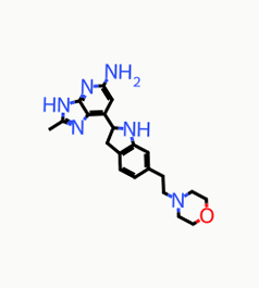 Cc1nc2c(C3Cc4ccc(CCN5CCOCC5)cc4N3)cc(N)nc2[nH]1